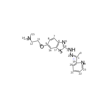 C/C(=N\Nc1nc2ccc(OCCN(C)C)cc2s1)c1ccccn1